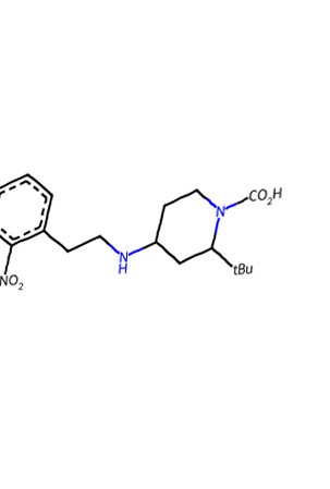 CC(C)(C)C1CC(NCCc2ccccc2[N+](=O)[O-])CCN1C(=O)O